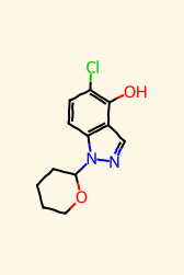 Oc1c(Cl)ccc2c1cnn2C1CCCCO1